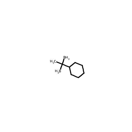 BC(B)(C)C1CCCCC1